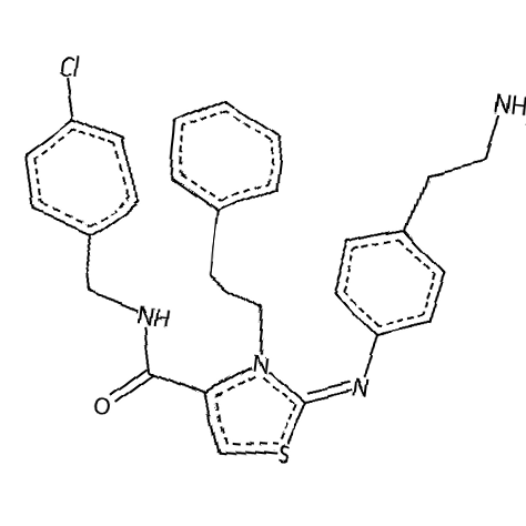 NCCc1ccc(N=c2scc(C(=O)NCc3ccc(Cl)cc3)n2CCc2ccccc2)cc1